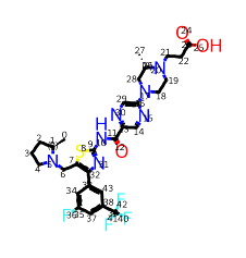 C[C@@H]1CCCN1Cc1sc(NC(=O)c2cnc(N3CCN(CCC(=O)O)[C@@H](C)C3)cn2)nc1-c1cc(F)cc(C(F)(F)F)c1